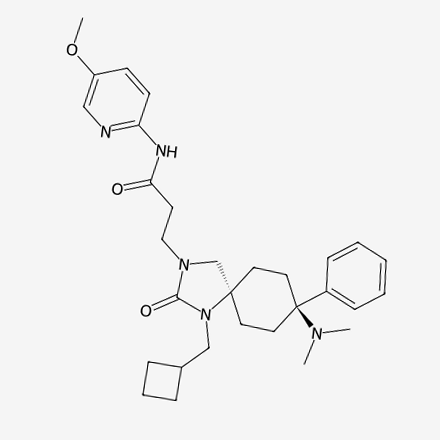 COc1ccc(NC(=O)CCN2C[C@]3(CC[C@](c4ccccc4)(N(C)C)CC3)N(CC3CCC3)C2=O)nc1